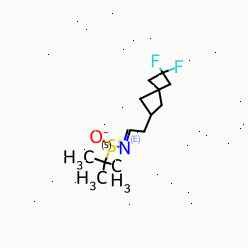 CC(C)(C)[S@@+]([O-])/N=C/CC1CC2(C1)CC(F)(F)C2